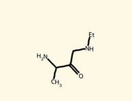 CCNCC(=O)C(C)N